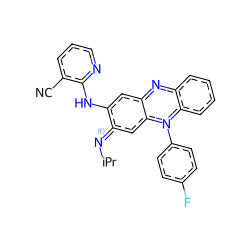 CC(C)/N=c1\cc2n(-c3ccc(F)cc3)c3ccccc3nc-2cc1Nc1ncccc1C#N